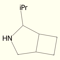 CC(C)C1NCC2CCC21